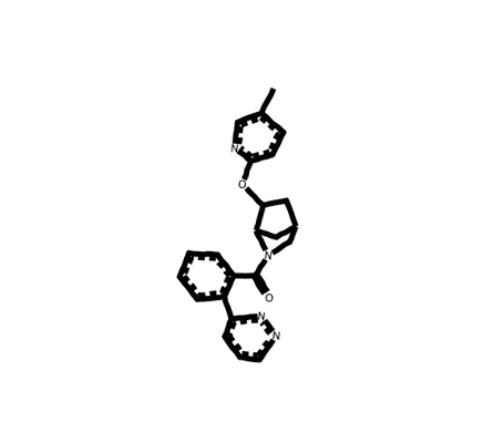 Cc1ccc(OC2CC3CC2N(C(=O)c2ccccc2-c2cccnn2)C3)nc1